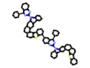 c1ccc(-c2nc(-n3c4ccccc4c4cc5c(ccc6ccc7c8ccccc8sc7c65)cc43)nc3ccc(-c4cccc5c4sc4ccc6ccc7cc8c(cc7c6c45)c4ccccc4n8-c4nc(-c5ccccc5)c5ccccc5n4)cc23)cc1